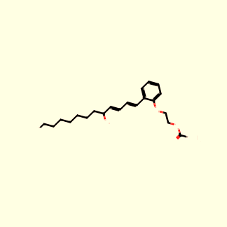 CCCCCCCCC(O)/C=C/C=C/c1ccccc1OCCOC(C)=O